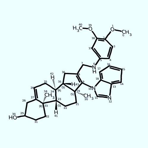 COc1ccc(NCC2=C(n3cnc4ccccc43)[C@@]3(C)CC[C@H]4[C@@H](CC=C5CC(O)CC[C@@]54C)[C@@H]3C2)cc1OC